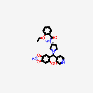 CCOc1ccccc1C(=O)N[C@@H]1CCN(C(c2ccncc2)c2cc3c(cc2O)ONO3)C1